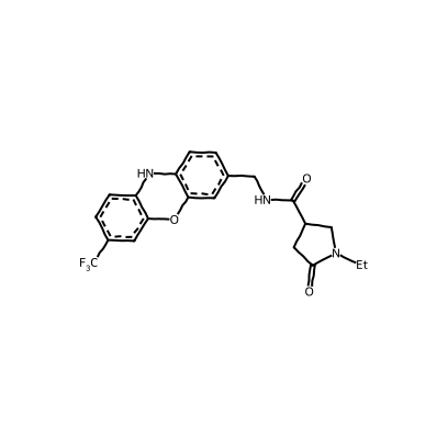 CCN1CC(C(=O)NCc2ccc3c(c2)Oc2cc(C(F)(F)F)ccc2N3)CC1=O